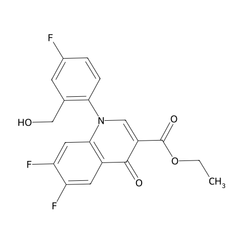 CCOC(=O)c1cn(-c2ccc(F)cc2CO)c2cc(F)c(F)cc2c1=O